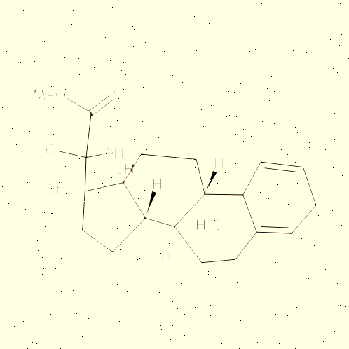 CC[C@@]1(C(O)(O)C(=O)OC)CC[C@H]2[C@@H]3CCC4=CCC=C[C@]4(C)[C@H]3CC[C@@]21C